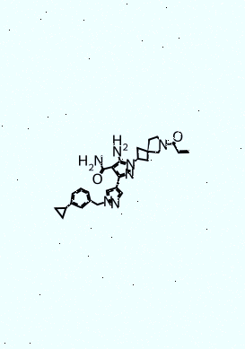 C=CC(=O)N1CC[C@]2(C1)C[C@H](n1nc(-c3cnn(Cc4cccc(C5CC5)c4)c3)c(C(N)=O)c1N)C2